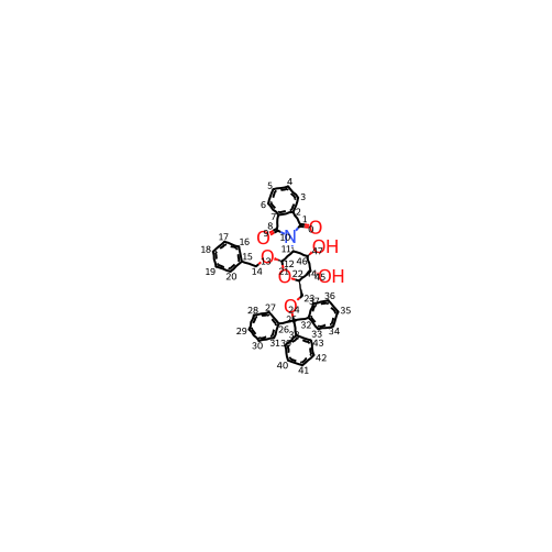 O=C1c2ccccc2C(=O)N1[C@H]1[C@H](OCc2ccccc2)O[C@H](COC(c2ccccc2)(c2ccccc2)c2ccccc2)[C@@H](O)[C@@H]1O